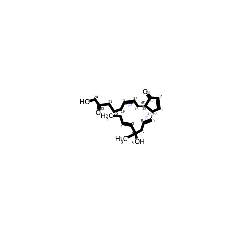 CCC=CC(C)(O)C/C=C/[C@H]1C=CC(=O)[C@@H]1C/C=C\CCCC(=O)CO